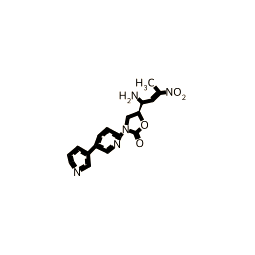 CC(=CC(N)[C@@H]1CN(c2ccc(-c3cccnc3)cn2)C(=O)O1)[N+](=O)[O-]